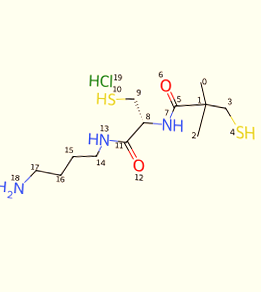 CC(C)(CS)C(=O)N[C@@H](CS)C(=O)NCCCCN.Cl